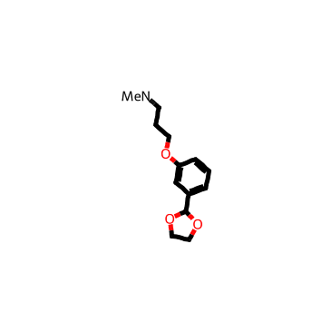 CNCCCOc1cccc(C2OCCO2)c1